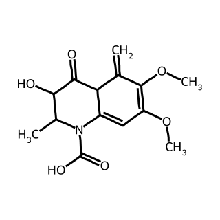 C=C1C(OC)=C(OC)C=C2C1C(=O)C(O)C(C)N2C(=O)O